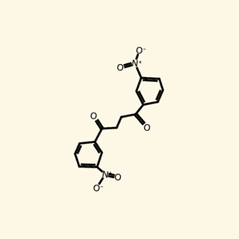 O=C(CCC(=O)c1cccc([N+](=O)[O-])c1)c1cccc([N+](=O)[O-])c1